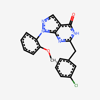 COc1ccccc1-n1ncc2c(=O)[nH]c(Cc3cccc(Cl)c3)nc21